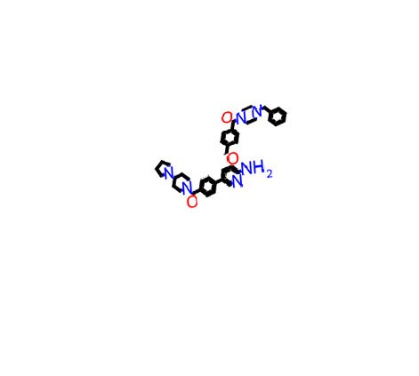 Nc1ncc(-c2ccc(C(=O)N3CCC(N4CCCC4)CC3)cc2)cc1OCc1ccc(C(=O)N2CCN(Cc3ccccc3)CC2)cc1